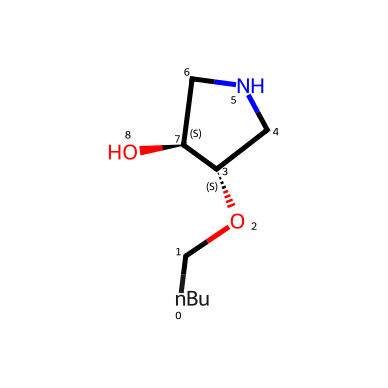 CCCCCO[C@H]1CNC[C@@H]1O